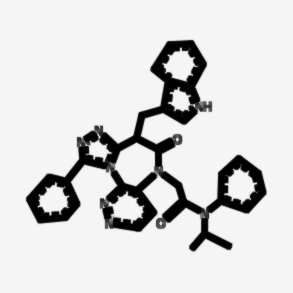 CC(C)N(C(=O)CN1C(=O)C(Cc2c[nH]c3ccccc23)c2nnc(-c3ccccc3)n2-c2nnccc21)c1ccccc1